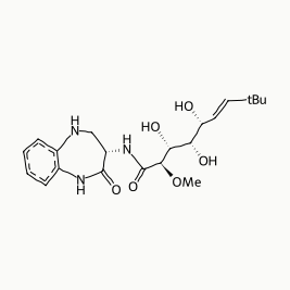 CO[C@@H](C(=O)N[C@H]1CNc2ccccc2NC1=O)[C@H](O)[C@@H](O)[C@H](O)C=CC(C)(C)C